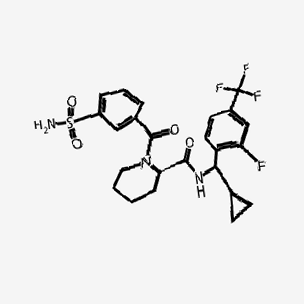 NS(=O)(=O)c1cccc(C(=O)N2CCCC[C@@H]2C(=O)NC(c2ccc(C(F)(F)F)cc2F)C2CC2)c1